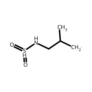 [CH2]C(C)CN[SH](=O)=O